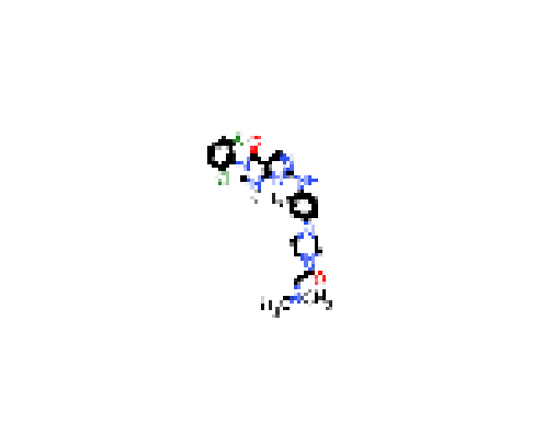 CN(C)CC(=O)N1CCN(c2ccc(Nc3ncc4c(n3)N(C)CN(c3c(Cl)cccc3Cl)C4=O)cc2)CC1